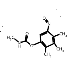 CNC(=O)Oc1cc(N=O)c(C)c(C)c1C